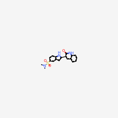 CN(C)S(=O)(=O)c1ccc2[nH]c(-c3cc4ccccc4[nH]c3=O)cc2c1